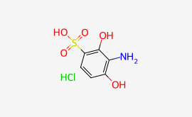 Cl.Nc1c(O)ccc(S(=O)(=O)O)c1O